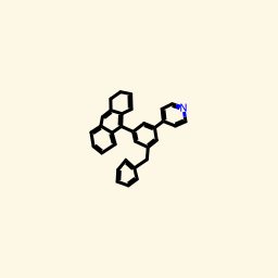 C1=Cc2c(cc3ccccc3c2-c2cc(Cc3ccccc3)cc(-c3ccncc3)c2)CC1